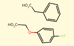 O=C(O)COc1ccc(F)cc1.O=C(O)Cc1ccccc1